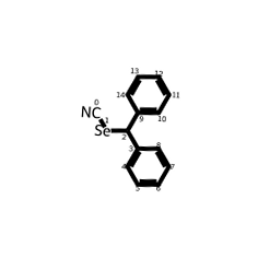 N#C[Se]C(c1ccccc1)c1ccccc1